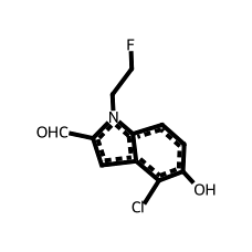 O=Cc1cc2c(Cl)c(O)ccc2n1CCF